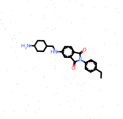 CCc1ccc(N2C(=O)c3ccc(NCC4CCC(N)CC4)cc3C2=O)cc1